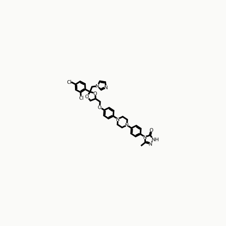 Cc1n[nH]c(=O)n1-c1ccc(N2CCN(c3ccc(OCC4COC(Cn5ccnc5)(c5ccc(Cl)cc5Cl)O4)cc3)CC2)cc1